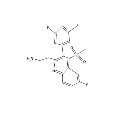 CS(=O)(=O)c1c(-c2cc(F)cc(F)c2)c(CCN)nc2ccc(F)cc12